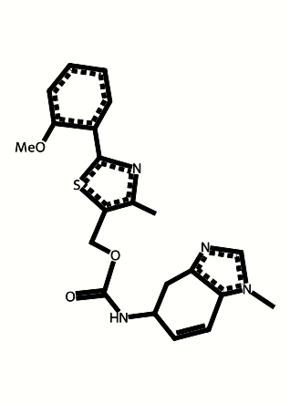 COc1ccccc1-c1nc(C)c(COC(=O)NC2C=Cc3c(ncn3C)C2)s1